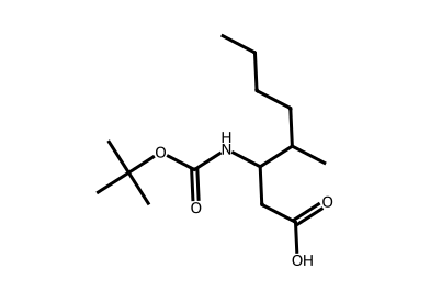 CCCCC(C)C(CC(=O)O)NC(=O)OC(C)(C)C